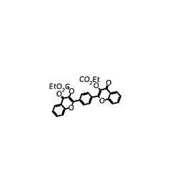 CCOC(=O)Oc1c(-c2ccc(-c3oc4ccccc4c(=O)c3OC(=O)OCC)cc2)oc2ccccc2c1=O